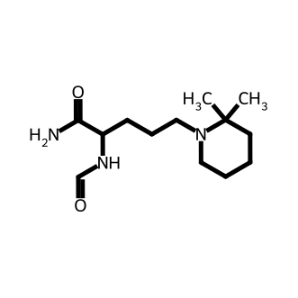 CC1(C)CCCCN1CCCC(NC=O)C(N)=O